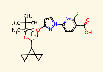 CC(C)(C)[Si](C)(C)O[C@H](COc1ccn(-c2ccc(C(=O)O)c(Cl)n2)n1)C1C2(CC2)C12CC2